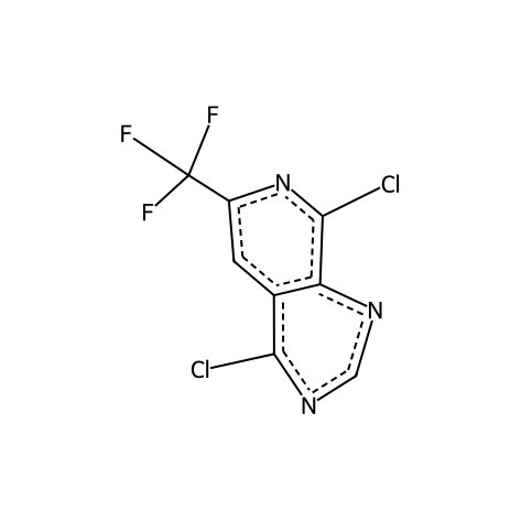 FC(F)(F)c1cc2c(Cl)ncnc2c(Cl)n1